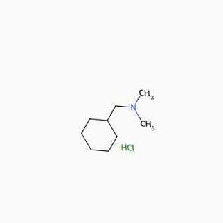 CN(C)CC1CCCCC1.Cl